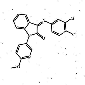 COc1ccc(N2C(=O)/C(=N\c3ccc(Cl)c(Cl)c3)c3ccccc32)cn1